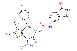 Cc1sc2c(c1C)C(c1ccc(Cl)cc1)=N[C@@H](CC(=O)Nc1ccc3c(c1)C(=O)NC3O)c1nnc(C)n1-2